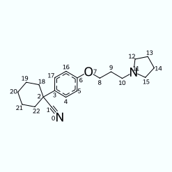 N#CC1(c2ccc(OCCCN3CCCC3)cc2)CCCCC1